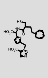 O=C(O)c1cnnn1Cc1ccc(C(NC(=O)C(CS)CCc2ccccc2)C(=O)O)s1